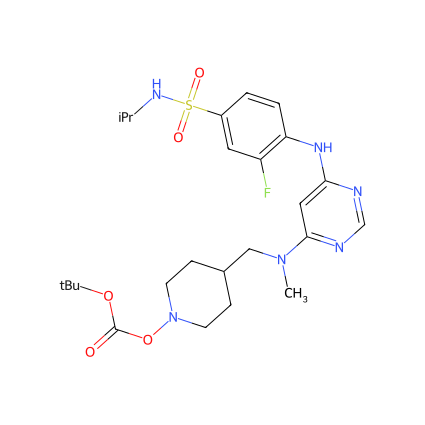 CC(C)NS(=O)(=O)c1ccc(Nc2cc(N(C)CC3CCN(OC(=O)OC(C)(C)C)CC3)ncn2)c(F)c1